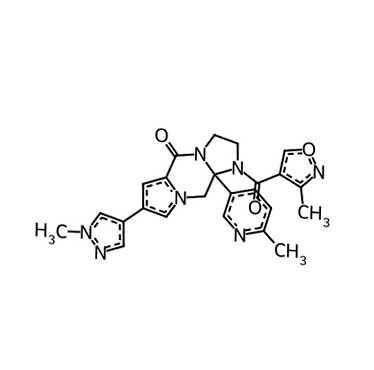 Cc1ccc(C23Cn4cc(-c5cnn(C)c5)cc4C(=O)N2CCN3C(=O)c2conc2C)cn1